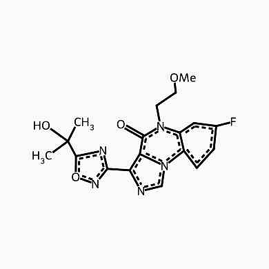 COCCn1c(=O)c2c(-c3noc(C(C)(C)O)n3)ncn2c2ccc(F)cc21